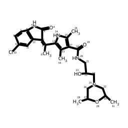 C/C(=C1/C(=O)Nc2ccc(Cl)cc21)c1[nH]c(C)c(C(=O)NCC(O)CN2CC(C)OC(C)C2)c1C